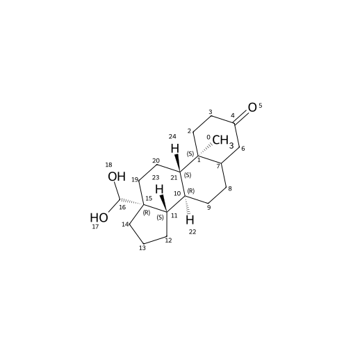 C[C@]12CCC(=O)CC1CC[C@H]1[C@@H]3CCC[C@@]3(C(O)O)CC[C@@H]12